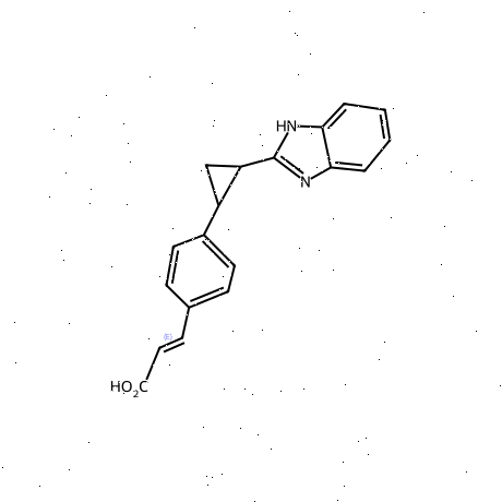 O=C(O)/C=C/c1ccc(C2CC2c2nc3ccccc3[nH]2)cc1